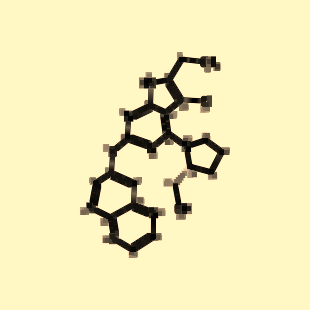 CCc1[nH]c2nc(Sc3cnc4nccnc4c3)nc(N3CCC[C@@H]3CO)c2c1Cl